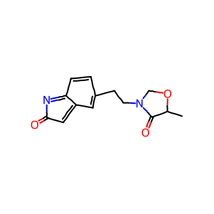 CC1OCN(CCc2ccc3c(c2)=CC(=O)N=3)C1=O